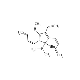 C=C/C=C\C1=C(C=C)C(C=C)=C(/C=C\C=C)C1(P(C)C)C(C)(C)C